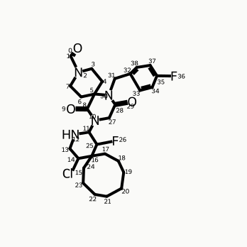 O=CN1CCC2(CC1)C(=O)N(C1NCC(Cl)C3(CCCCCCCC3)C1F)CC(=O)N2Cc1ccc(F)cc1